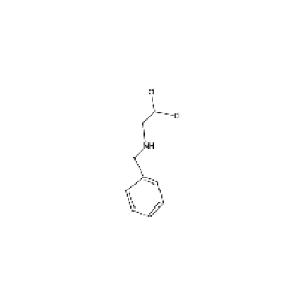 ClC(Cl)CNCc1ccccc1